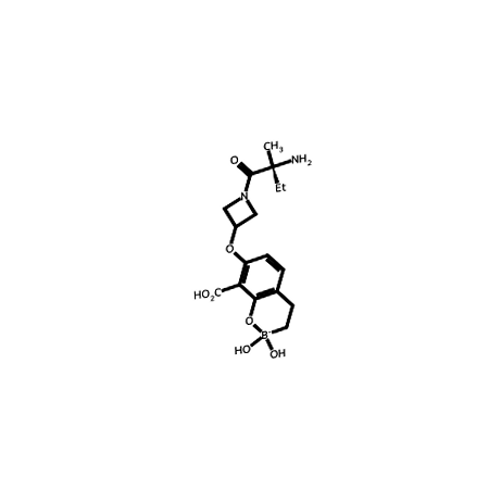 CC[C@@](C)(N)C(=O)N1CC(Oc2ccc3c(c2C(=O)O)O[B-](O)(O)CC3)C1